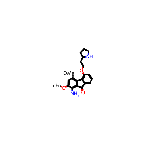 CCCOc1cc(OC)c2c(c1N)C(=O)c1cccc(OCCC3CCCN3)c1-2